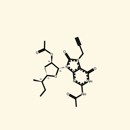 C#CCn1c(=O)n([C@@H]2O[C@H]([C@H](C)CC)C[C@H]2OC(C)=O)c2nc(NC(C)=O)[nH]c(=O)c21